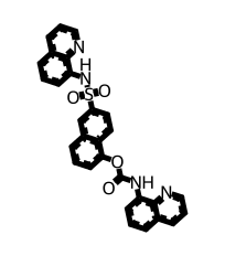 O=C(Nc1cccc2cccnc12)Oc1cccc2cc(S(=O)(=O)Nc3cccc4cccnc34)ccc12